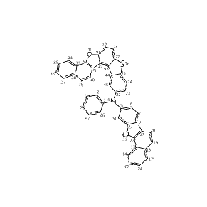 c1ccc(N(c2ccc3c(c2)oc2c4ccccc4ccc32)c2ccc3sc4ccc5oc6c7ccccc7ccc6c5c4c3c2)cc1